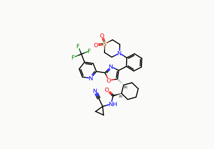 N#CC1(NC(=O)[C@@H]2CCCC[C@H]2c2oc(-c3cc(C(F)(F)F)ccn3)nc2-c2ccccc2N2CCS(=O)(=O)CC2)CC1